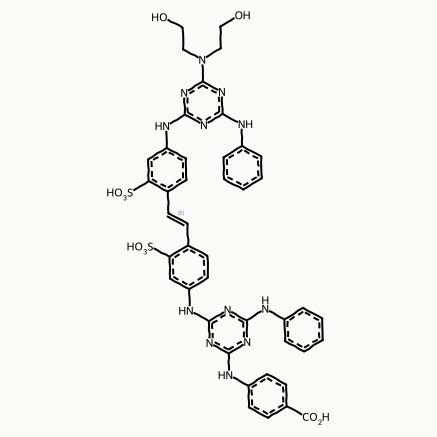 O=C(O)c1ccc(Nc2nc(Nc3ccccc3)nc(Nc3ccc(/C=C/c4ccc(Nc5nc(Nc6ccccc6)nc(N(CCO)CCO)n5)cc4S(=O)(=O)O)c(S(=O)(=O)O)c3)n2)cc1